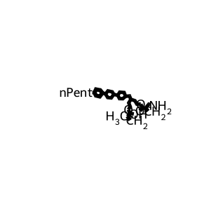 C=C(CN)C(=O)OCCC(CCOC(O)C(=C)C)CC1CCC(C2CCC(c3ccc(CCCCC)cc3)CC2)CC1